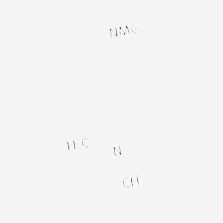 CNC12CC1(CN(C)C)C2